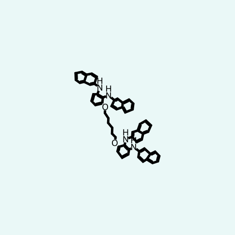 c1cc(Nc2ccc3ccccc3c2)c(Nc2ccc3ccccc3c2)c(OCCCCCCOc2cccc(Nc3ccc4ccccc4c3)c2Nc2ccc3ccccc3c2)c1